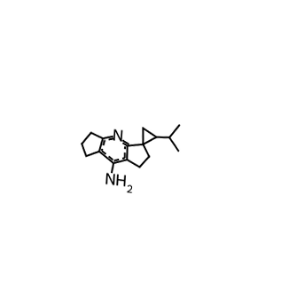 CC(C)C1CC12CCc1c2nc2c(c1N)CCC2